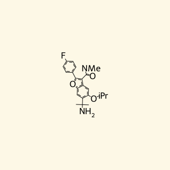 CNC(=O)c1c(-c2ccc(F)cc2)oc2cc(C(C)(C)N)c(OC(C)C)cc12